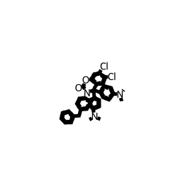 CN(C)c1ccc(C2(c3ccc(N(C)C)cc3)c3cc(Cl)c(Cl)cc3OC(=O)N2c2ccc(Cc3ccccc3)cc2)cc1